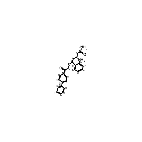 NC(=O)CCCC(SCC(=O)c1ccc(-c2ccccc2)cc1)c1ccccc1N